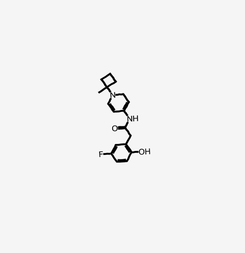 CC1(N2C=CC(NC(=O)Cc3cc(F)ccc3O)=CC2)CCC1